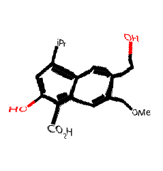 COc1cc2c(C(=O)O)c(O)cc(C(C)C)c2cc1CO